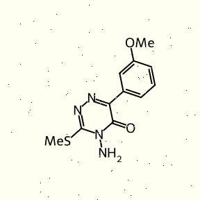 COc1cccc(-c2nnc(SC)n(N)c2=O)c1